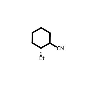 CC[C@@H]1CCCCC1C#N